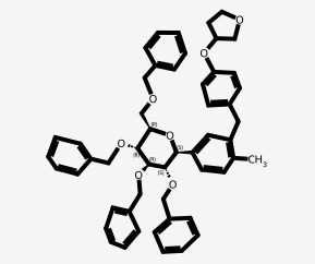 Cc1ccc([C@@H]2O[C@H](COCc3ccccc3)[C@@H](OCc3ccccc3)[C@H](OCc3ccccc3)[C@H]2OCc2ccccc2)cc1Cc1ccc(OC2CCOC2)cc1